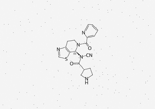 N#CN(C(=O)C1CCNC1)[C@H]1c2scnc2CCN1C(=O)c1ccccn1